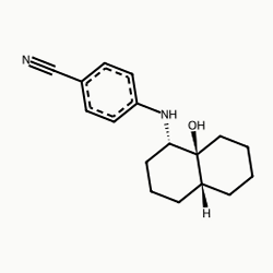 N#Cc1ccc(N[C@H]2CCC[C@H]3CCCC[C@]32O)cc1